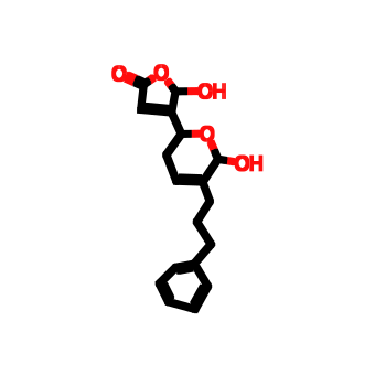 O=C1C=C(C2CC=C(CCCc3ccccc3)C(O)O2)C(O)O1